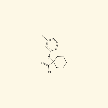 O=C(O)C1(Oc2cccc(F)c2)CCCCC1